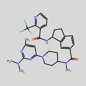 Cc1cc(N2CCC(N(C)C(=O)c3ccc4c(c3)C(NC(=O)c3cccnc3C(F)(F)F)CC4)CC2)nc(N(C)C)n1